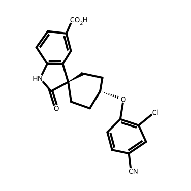 N#Cc1ccc(O[C@H]2CC[C@@]3(CC2)C(=O)Nc2ccc(C(=O)O)cc23)c(Cl)c1